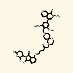 COc1cc(-c2cn(C)c(=O)c3cnccc23)cc(OC)c1CN1CCC2(CC1)CN(CC(=O)CCCOc1cccc3c1C(=O)N(C1CCC(=O)NC1=O)C3=O)CCO2